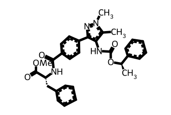 COC(=O)[C@@H](Cc1ccccc1)NC(=O)c1ccc(-c2nn(C)c(C)c2NC(=O)O[C@H](C)c2ccccc2)cc1